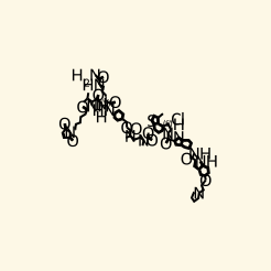 Cc1csc2c(OC(=O)N(C)CCN(C)C(=O)OCc3ccc(NC(=O)[C@H](CCCNC(N)=O)NC(=O)C(NC(=O)CCCCCN4C(=O)C=CC4=O)C(C)C)cc3)cc3c(c12)[C@H](CCl)CN3C(=O)c1cc2cc(NC(=O)c3cc4cc(OCCN5CCCC5)ccc4[nH]3)ccc2[nH]1